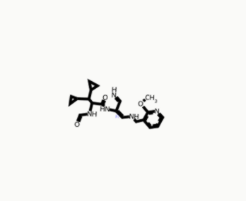 COc1ncccc1CN/C=C(\C=N)NC(=O)C(NC=O)C(C1CC1)C1CC1